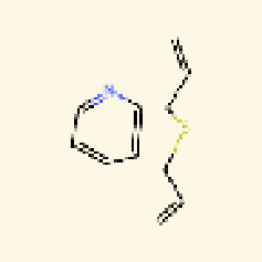 C=CCSCC=C.c1ccncc1